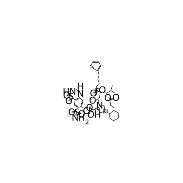 CCC(=O)OC(O[P@](=O)(CCCCc1ccccc1)CC(=O)N1C[C@H](C2CCCCC2)C[C@H]1C(=O)O)C(C)C.NS(=O)(=O)c1cc2c(cc1Cl)NCNS2(=O)=O